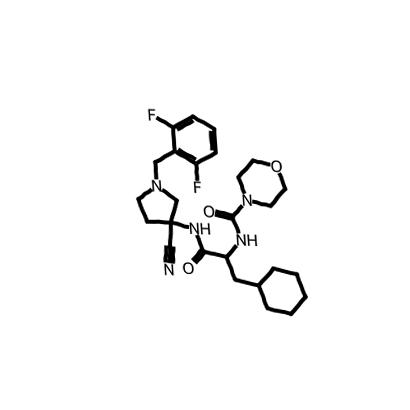 N#CC1(NC(=O)C(CC2CCCCC2)NC(=O)N2CCOCC2)CCN(Cc2c(F)cccc2F)C1